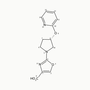 O=C(O)c1coc(N2CC[C@H](Oc3ccccn3)C2)n1